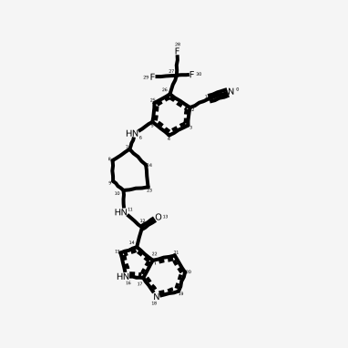 N#Cc1ccc(NC2CCC(NC(=O)c3c[nH]c4ncccc34)CC2)cc1C(F)(F)F